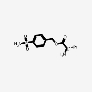 CC(C)[C@H](N)C(=O)OCc1ccc(S(N)(=O)=O)cc1